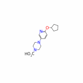 O=C(O)N1CCN(c2ccc(OC3CCCC3)nc2)CC1